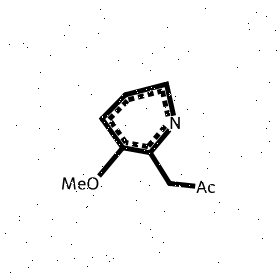 COc1cccnc1CC(C)=O